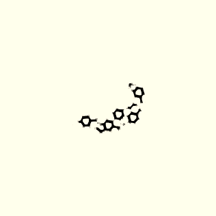 O=C(NSc1ccc(CN(CCSc2ccccc2)Cc2ccc3c(c2)OCO3)cc1)c1ccc2c(ccn2Cc2ccc(C(F)(F)F)cc2C(F)(F)F)c1